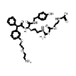 CCC(=O)NCCNC(=O)/N=C(/N)NCCC[C@@H](NC(=O)C(c1ccccc1)c1cccc(OCCOCCN)c1)C(=O)NCc1ccc(O)cc1